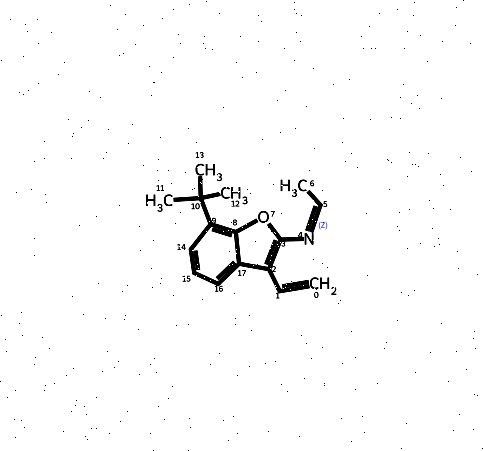 C=Cc1c(/N=C\C)oc2c(C(C)(C)C)cccc12